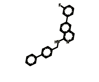 Fc1cccc(-c2ccc3c(NCc4ccc(-c5ccccc5)cc4)nccc3c2)c1